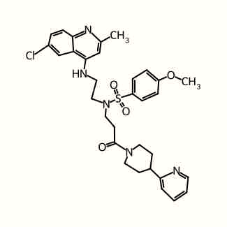 COc1ccc(S(=O)(=O)N(CCNc2cc(C)nc3ccc(Cl)cc23)CCC(=O)N2CCC(c3ccccn3)CC2)cc1